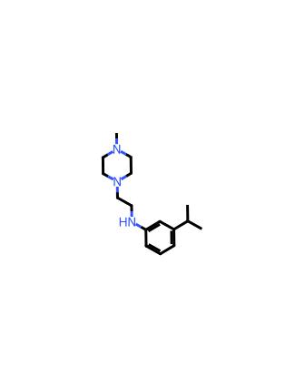 CC(C)c1cccc(NCCN2CCN(C)CC2)c1